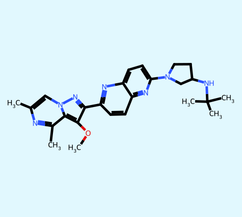 COc1c(-c2ccc3nc(N4CCC(NC(C)(C)C)C4)ccc3n2)nn2cc(C)nc(C)c12